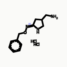 Cl.Cl.NCC1CN/C(=N\OCc2ccccc2)C1